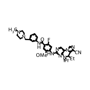 CCC1c2c(C#N)ncn2-c2cnc(Nc3cc(F)c(C(=O)Nc4cccc(CN5CCN(C)CC5)c4)cc3OC)nc2N1C(C)C